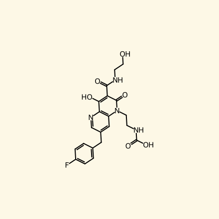 O=C(O)NCCn1c(=O)c(C(=O)NCCO)c(O)c2ncc(Cc3ccc(F)cc3)cc21